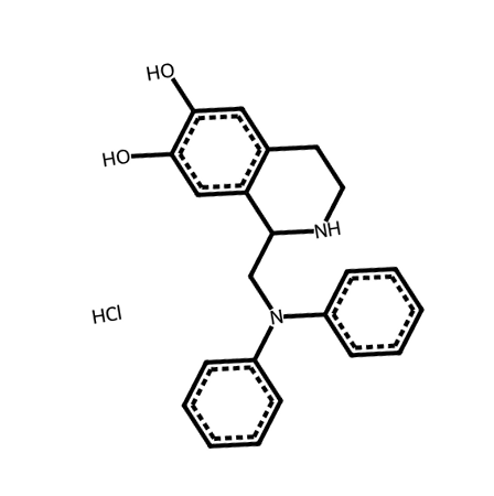 Cl.Oc1cc2c(cc1O)C(CN(c1ccccc1)c1ccccc1)NCC2